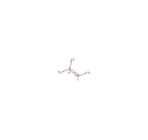 CP=S(C)C